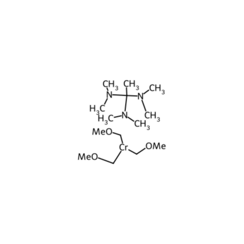 CN(C)C(C)(N(C)C)N(C)C.CO[CH2][Cr]([CH2]OC)[CH2]OC